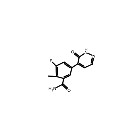 Cc1c(F)cc(-c2ccn[nH]c2=O)cc1C(N)=O